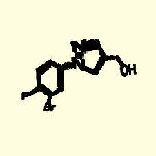 OCc1cnn(-c2ccc(F)c(Br)c2)c1